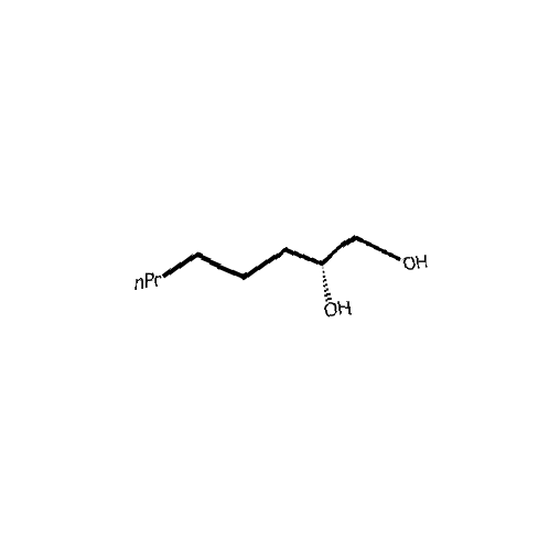 CCCCCC[C@@H](O)CO